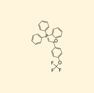 O=C(C=P(c1ccccc1)(c1ccccc1)c1ccccc1)c1ccc(OC(F)(F)F)cc1